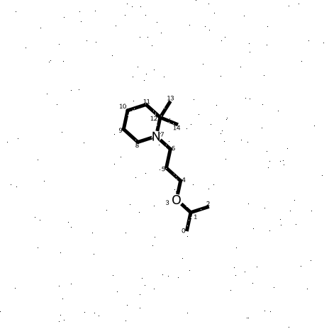 CC(C)OCCCN1CCCCC1(C)C